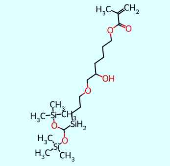 C=C(C)C(=O)OCCCCC(O)COCCC[SiH2]C(O[Si](C)(C)C)O[Si](C)(C)C